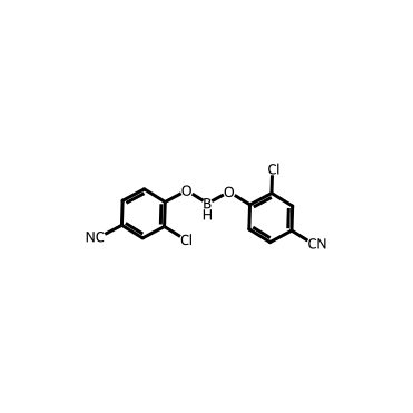 N#Cc1ccc(OBOc2ccc(C#N)cc2Cl)c(Cl)c1